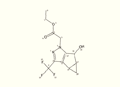 CCOC(=O)Cn1nc(C(F)(F)F)c2c1C(O)C1CC21